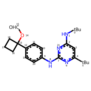 CC(C)(C)Nc1cc(C(C)(C)C)nc(Nc2ccc(C3(OC=O)CCC3)cc2)n1